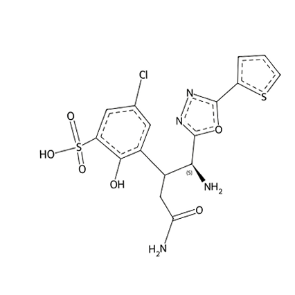 NC(=O)CC(c1cc(Cl)cc(S(=O)(=O)O)c1O)[C@H](N)c1nnc(-c2cccs2)o1